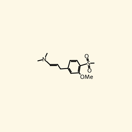 COc1cc(C/C=C/N(C)C)ccc1S(C)(=O)=O